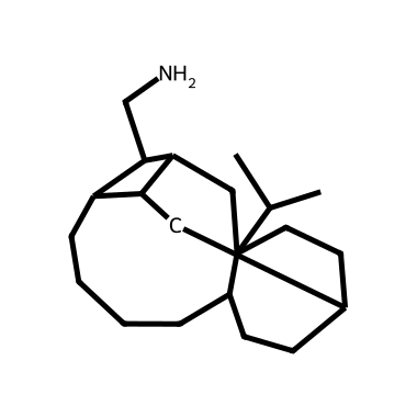 CC(C)C12CCC3CCC1CCCCC1C(CN)C(C2)C1C3